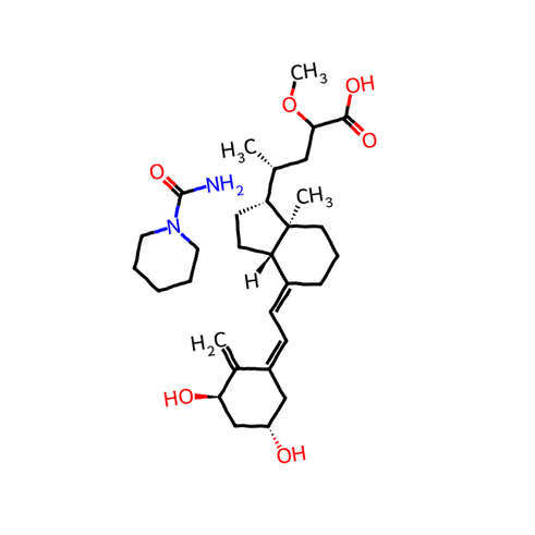 C=C1/C(=C\C=C2CCC[C@]3(C)[C@@H]([C@H](C)CC(OC)C(=O)O)CC[C@@H]23)C[C@H](O)C[C@H]1O.NC(=O)N1CCCCC1